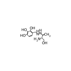 C=C(NNCc1ccc(O)c(O)c1O)C(N)CO